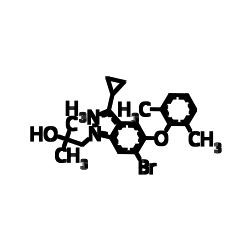 Cc1cccc(C)c1Oc1cc2c(C3CC3)nn(CC(C)(C)O)c2cc1Br